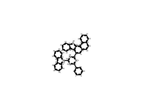 c1ccc(-c2nc(-c3cc4ccc5ccccc5c4c4sc5ccccc5c34)nc(-n3c4ccccc4c4ccccc43)n2)cc1